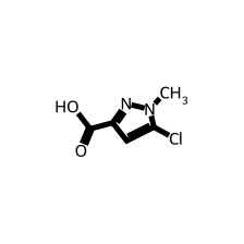 Cn1nc(C(=O)O)cc1Cl